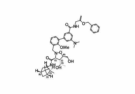 C=C(CNC(=O)c1cc(-c2cccc(CN3O[C@@H](CO)[C@H]([C@H](C)O)[C@H]3C(=O)N[C@H]3C[C@H]4C[C@@H]([C@@H]3C)C4(C)C)c2OC)cc(N(C)C)c1)OCc1ccccc1